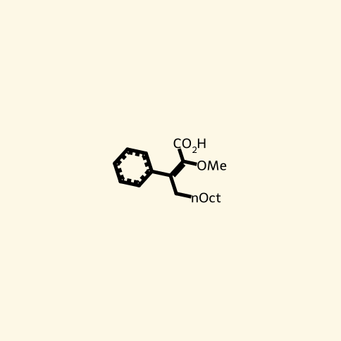 CCCCCCCCCC(=C(OC)C(=O)O)c1ccccc1